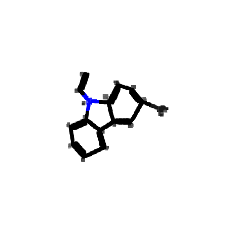 C=Cn1c2ccccc2c2cc(CCC)ccc21